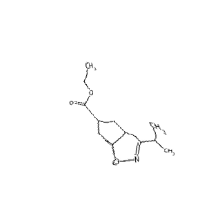 CCOC(=O)C1CC2ON=C(C(C)C)C2C1